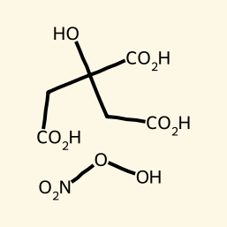 O=C(O)CC(O)(CC(=O)O)C(=O)O.O=[N+]([O-])OO